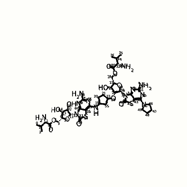 CC(C)[C@H](N)C(=O)OC[C@H]1O[C@@H](n2c(=O)sc3c(NC4CCC(O[C@@H]5[C@H](O)[C@@H](COC(=O)[C@@H](N)C(C)C)O[C@H]5n5c(=O)sc6c(N7CCCC7)nc(N)nc65)C4)nc(N)nc32)[C@H](O)[C@@H]1O